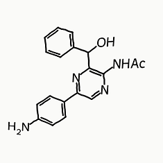 CC(=O)Nc1ncc(-c2ccc(N)cc2)nc1C(O)c1ccccc1